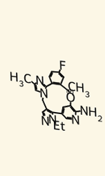 CCn1ncc2c1-c1cnc(N)c(c1)O[C@H](C)c1cc(F)ccc1-c1nc(C)cn1C2